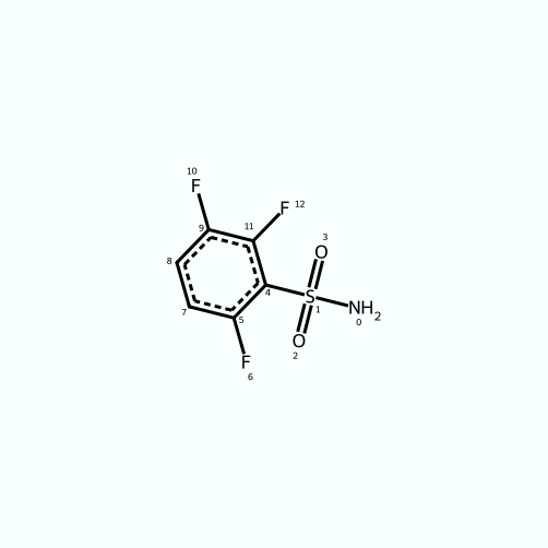 NS(=O)(=O)c1c(F)ccc(F)c1F